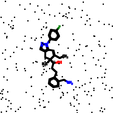 CCC1=Cc2c(cnn2-c2ccc(F)cc2)CC1(C)[C@@H](O)CCc1ccccc1CN